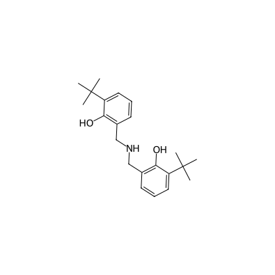 CC(C)(C)c1cccc(CNCc2cccc(C(C)(C)C)c2O)c1O